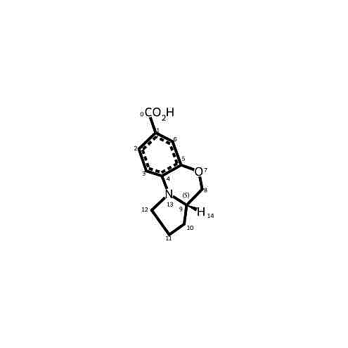 O=C(O)c1ccc2c(c1)OC[C@@H]1CCCN21